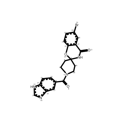 O=C1NC2(CCN(C(=O)c3ccc4[nH]cnc4c3)CC2)Oc2ccc(Br)cc21